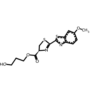 COc1ccc2nc(C3=N[C@@H](C(=O)OCCCO)CS3)sc2c1